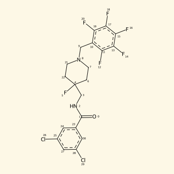 O=C(NCC1(F)CCN(Cc2c(F)c(F)c(F)c(F)c2F)CC1)c1cc(Cl)cc(Cl)c1